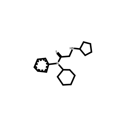 S=C(CNC1CCCC1)N(c1ccccc1)C1CCCCC1